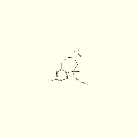 CC1(N=[N+]=[N-])CN(S(C)(=O)=O)CCc2cc(F)c(F)cc21